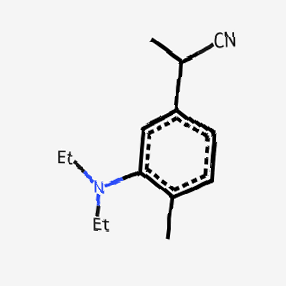 CCN(CC)c1cc(C(C)C#N)ccc1C